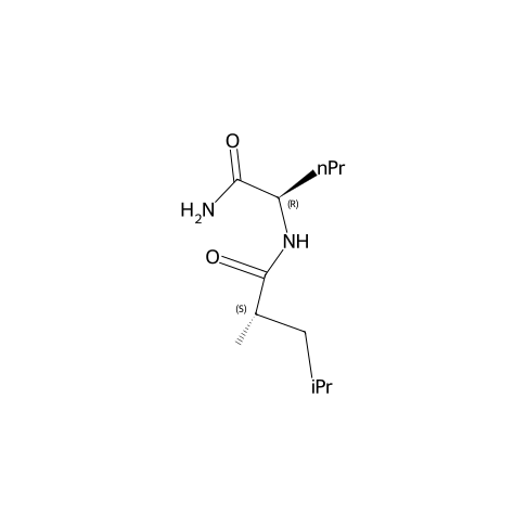 CCC[C@@H](NC(=O)[C@@H](C)CC(C)C)C(N)=O